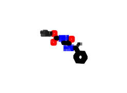 [CH2][C@@H](NC(=O)CNC(=O)OC(C)(C)C)c1ccccc1